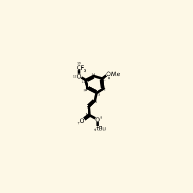 COc1cc(C=CC(=O)OC(C)(C)C)cc(OC(F)(F)F)c1